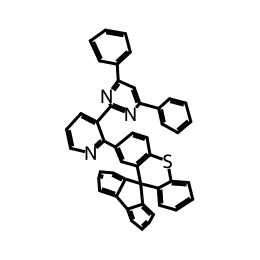 c1ccc(-c2cc(-c3ccccc3)nc(-c3cccnc3-c3ccc4c(c3)C3(c5ccccc5S4)c4ccccc4-c4ccccc43)n2)cc1